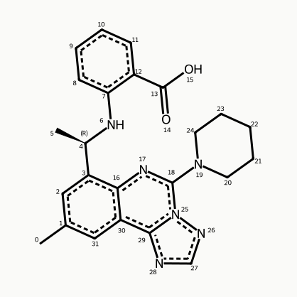 Cc1cc([C@@H](C)Nc2ccccc2C(=O)O)c2nc(N3CCCCC3)n3ncnc3c2c1